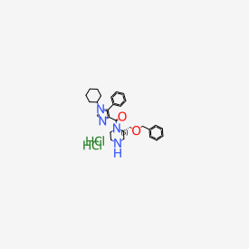 Cl.Cl.O=C(c1ncn(C2CCCCC2)c1-c1ccccc1)N1CCNC[C@H]1COCc1ccccc1